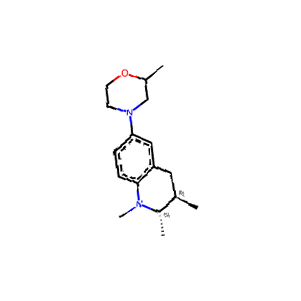 CC1CN(c2ccc3c(c2)C[C@@H](C)[C@H](C)N3C)CCO1